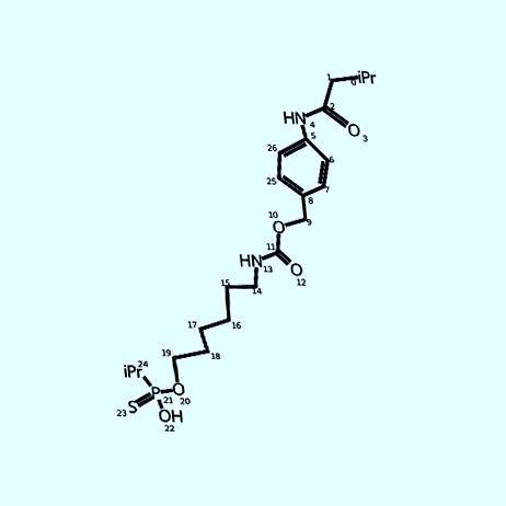 CC(C)CC(=O)Nc1ccc(COC(=O)NCCCCCCOP(O)(=S)C(C)C)cc1